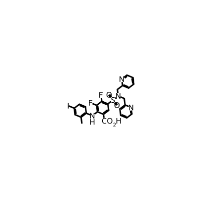 Cc1cc(I)ccc1Nc1c(C(=O)O)cc(S(=O)(=O)N(Cc2ccccn2)Cc2ccccn2)c(F)c1F